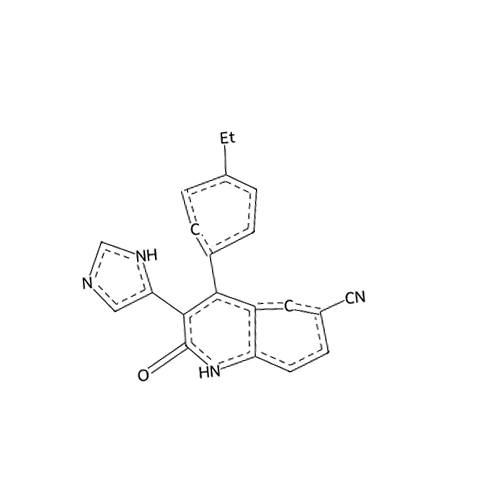 CCc1ccc(-c2c(-c3cnc[nH]3)c(=O)[nH]c3ccc(C#N)cc23)cc1